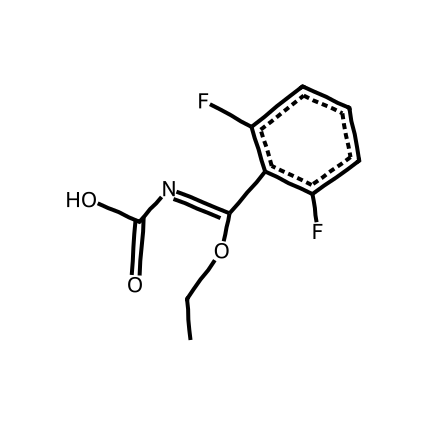 CCOC(=NC(=O)O)c1c(F)cccc1F